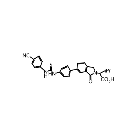 CC(C)C(C(=O)O)N1Cc2ccc(-c3ccc(NC(=S)Nc4ccc(C#N)cc4)cc3)cc2C1=O